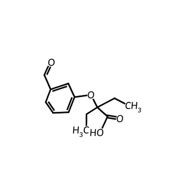 CCC(CC)(Oc1cccc(C=O)c1)C(=O)O